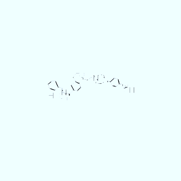 COc1ccc(N2CCN(CCC3OCCc4cc(C(=O)N(C)Cc5ccccc5)ccc43)CC2)cc1